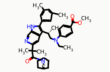 CCN(C[C@@H](C)c1c(-c2cc(C)cc(C)c2)[nH]c2cnc(C(C)(C)C(=O)N3CC4CCC3CC4)cc12)c1ccc(C(=O)OC)cc1